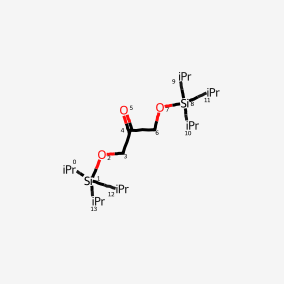 CC(C)[Si](OCC(=O)CO[Si](C(C)C)(C(C)C)C(C)C)(C(C)C)C(C)C